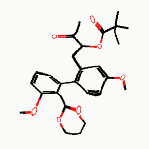 COc1ccc(-c2cccc(OC)c2C2OCCCO2)c(CC(OC(=O)C(C)(C)C)C(C)=O)c1